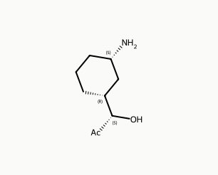 CC(=O)[C@@H](O)[C@@H]1CCC[C@H](N)C1